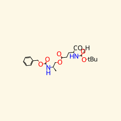 C[C@H](COC(=O)CCC(NC(=O)OC(C)(C)C)C(=O)O)NC(=O)OCc1ccccc1